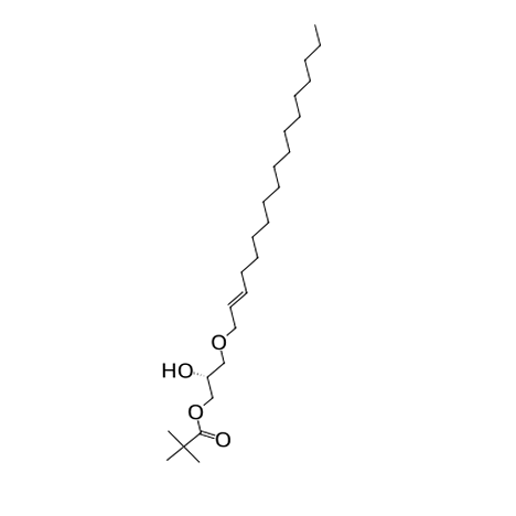 CCCCCCCCCCCCCCC/C=C/COC[C@@H](O)COC(=O)C(C)(C)C